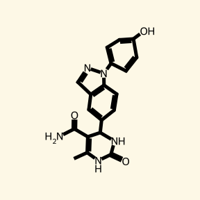 CC1=C(C(N)=O)C(c2ccc3c(cnn3-c3ccc(O)cc3)c2)NC(=O)N1